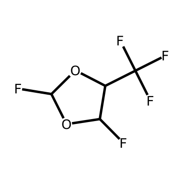 FC1OC(F)C(C(F)(F)F)O1